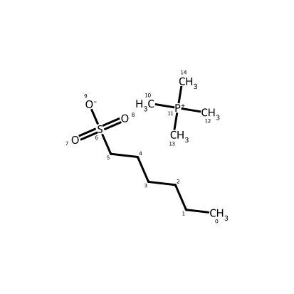 CCCCCCS(=O)(=O)[O-].C[P+](C)(C)C